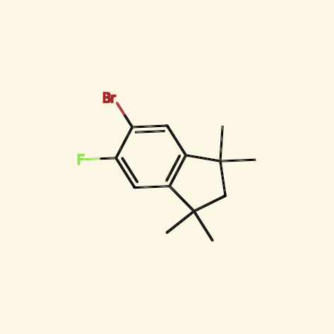 CC1(C)CC(C)(C)c2cc(Br)c(F)cc21